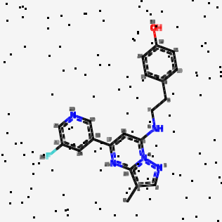 Cc1cnn2c(NCCc3ccc(O)cc3)cc(-c3cncc(F)c3)nc12